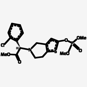 COC(=O)[C@H](c1ccccc1Cl)N1CCc2sc(OP(=O)(OC)OC)cc2C1